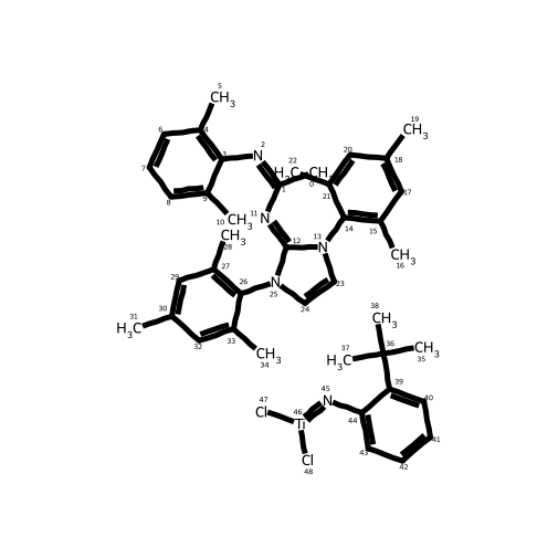 CC(=Nc1c(C)cccc1C)N=c1n(-c2c(C)cc(C)cc2C)ccn1-c1c(C)cc(C)cc1C.CC(C)(C)c1ccccc1[N]=[Ti]([Cl])[Cl]